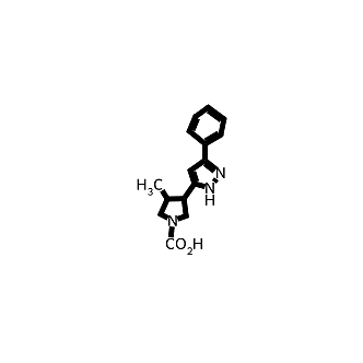 CC1CN(C(=O)O)CC1c1cc(-c2ccccc2)n[nH]1